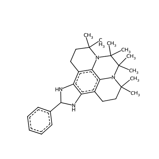 CC1(C)CCc2c3c(c4c5c2N1C(C)(C)C(C)(C)N5C(C)(C)CC4)NC(c1ccccc1)N3